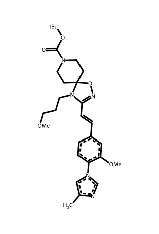 COCCCN1C(/C=C/c2ccc(-n3cnc(C)c3)c(OC)c2)=NOC12CCN(C(=O)OC(C)(C)C)CC2